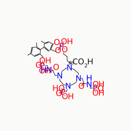 Cc1cc(C)c(-c2cc(C)c(OP(=O)(O)OCCC[C@H](C(=O)O)N3CCN(CC(=O)NCP(=O)(O)O)CCN(CP(=O)(O)O)CCN(CC(=O)NCP(=O)(O)O)CC3)cc2C)c(C)c1